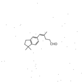 CC(=Cc1ccc2c(c1)CCC2(C)C)CCC=O